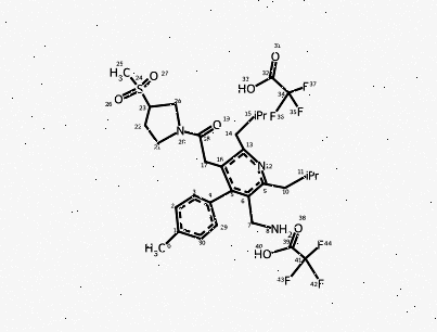 Cc1ccc(-c2c(CN)c(CC(C)C)nc(CC(C)C)c2CC(=O)N2CCC(S(C)(=O)=O)C2)cc1.O=C(O)C(F)(F)F.O=C(O)C(F)(F)F